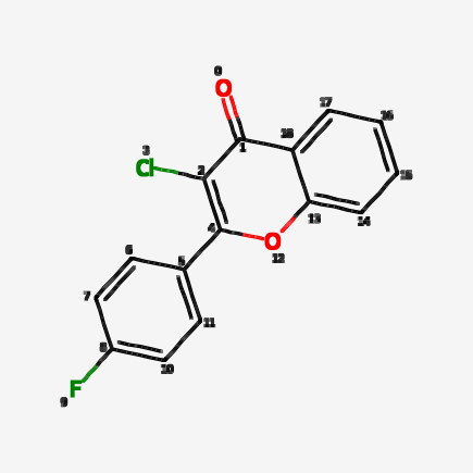 O=c1c(Cl)c(-c2ccc(F)cc2)oc2ccccc12